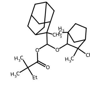 CCC(C)(C)C(=O)OC(OC1C2(C)CCC(C2)C1(C)C)C1(C)C2CC3CC(C2)CC1C3